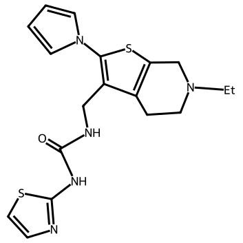 CCN1CCc2c(sc(-n3cccc3)c2CNC(=O)Nc2nccs2)C1